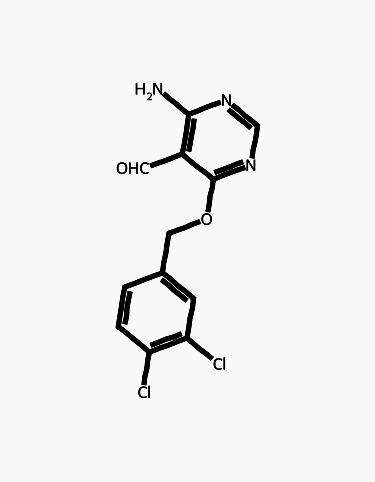 Nc1ncnc(OCc2ccc(Cl)c(Cl)c2)c1C=O